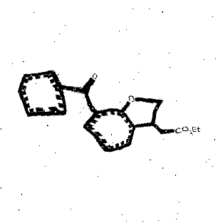 CCOC(=O)C1COc2c(C(=O)c3ccccc3)cccc21